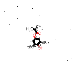 C=C(C)C(=O)Oc1cc(C(C)(C)C)c(O)c(C(C)(C)C)c1